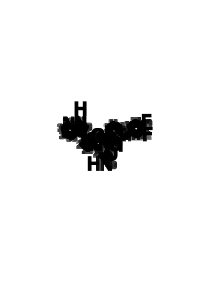 CNC(=O)C[C@@H](NC(=O)c1cccn(Cc2ccc(F)c(F)c2)c1=O)c1ccc(-c2c[nH]c3ncccc23)s1